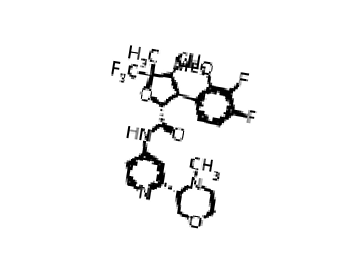 COc1c([C@H]2[C@H](C(=O)Nc3ccnc([C@H]4COCCN4C)c3)O[C@@](C)(C(F)(F)F)[C@H]2C)ccc(F)c1F